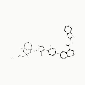 COCCC1(C)CC2(C)CCCC(Cn3ncc(-c4ccc(-c5ccc6nccc(C(=O)Nc7nc8ccccc8s7)c6c5)nc4C(=O)O)c3C)(C2)C1